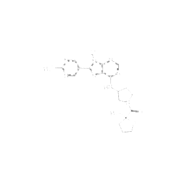 CCn1c(-c2cnc(C)nc2)nc2c(NC3CCN(C(=O)C4(C)CCCO4)C3)ncnc21